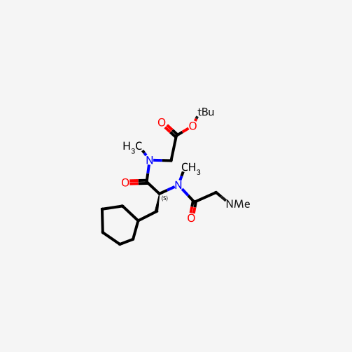 CNCC(=O)N(C)[C@@H](CC1CCCCC1)C(=O)N(C)CC(=O)OC(C)(C)C